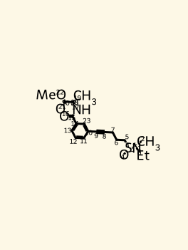 CCN(C)[S+]([O-])CCCC#Cc1cccc(C(=O)N[C@H](C)C(=O)OC)c1